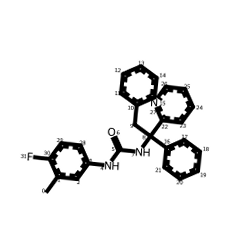 Cc1cc(NC(=O)NC(Cc2ccccc2)(c2ccccc2)c2ccccn2)ccc1F